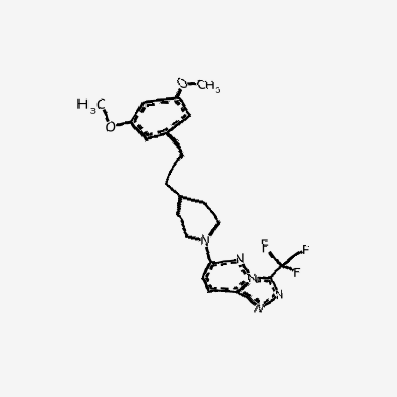 COc1cc(CCC2CCN(c3ccc4nnc(C(F)(F)F)n4n3)CC2)cc(OC)c1